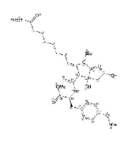 CCCCCCCC(=O)CCCCCCC=CC(C(=O)N[C@@H](Cc1ccc(OCCCC)cc1)C(=O)OC)C(O)(CCO)C(=O)OC(C)(C)C